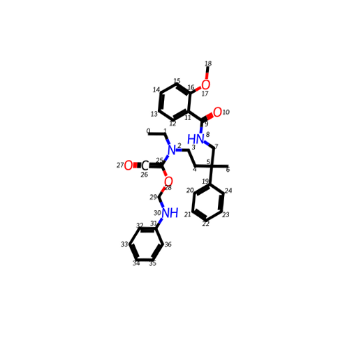 CCN(CCC(C)(CNC(=O)c1ccccc1OC)c1ccccc1)C(=C=O)OCNc1ccccc1